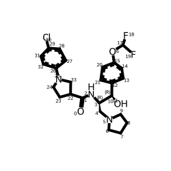 O=C(N[C@H](CN1CCCC1)[C@H](O)c1ccc(OC(F)F)cc1)C1CCN(c2ccc(Cl)cc2)C1